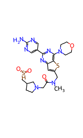 CN(Cc1cc2nc(-c3cnc(N)nc3)nc(N3CCOCC3)c2s1)C(=O)CN1CCC(C[SH](=O)=O)C1